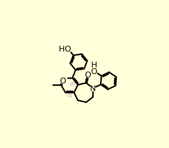 CC(=O)/C=C1/CCCN(c2ccccc2O)C(=O)/C1=C(/C)c1cccc(O)c1